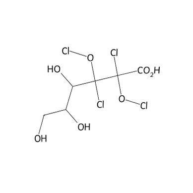 O=C(O)C(Cl)(OCl)C(Cl)(OCl)C(O)C(O)CO